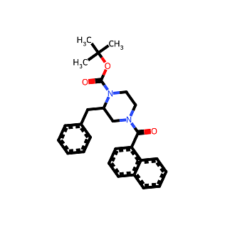 CC(C)(C)OC(=O)N1CCN(C(=O)c2cccc3ccccc23)CC1Cc1ccccc1